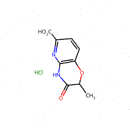 CC1Oc2ccc(C(=O)O)nc2NC1=O.Cl